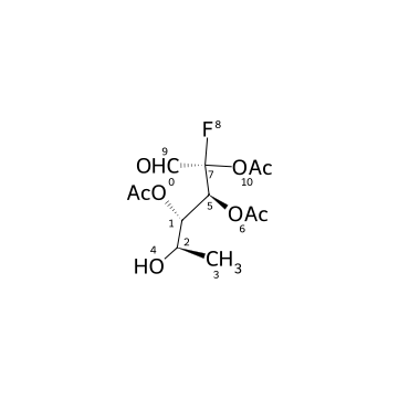 CC(=O)O[C@@H]([C@@H](C)O)[C@H](OC(C)=O)[C@](F)(C=O)OC(C)=O